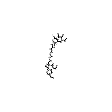 CCN(CC)CC(O[SiH](C)CCCSSSSCCC[SiH](C)OC(CN(CC)CC)N(CC)CC)N(CC)CC